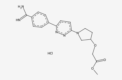 COC(=O)COC1CCN(c2ccc(-c3ccc(C(=N)N)cc3)nn2)C1.Cl